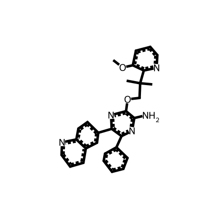 COc1cccnc1C(C)(C)COc1nc(-c2ccc3ncccc3c2)c(-c2ccccc2)nc1N